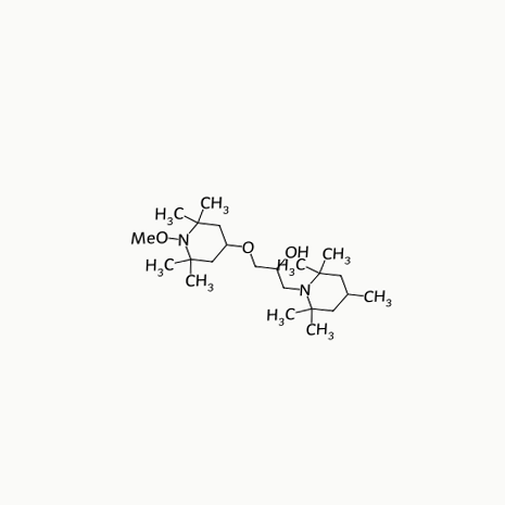 CON1C(C)(C)CC(OCC(O)CN2C(C)(C)CC(C)CC2(C)C)CC1(C)C